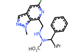 CCCC(c1ccccc1)N(NCc1nc(Cl)cc2cnn(C)c12)C(=O)O